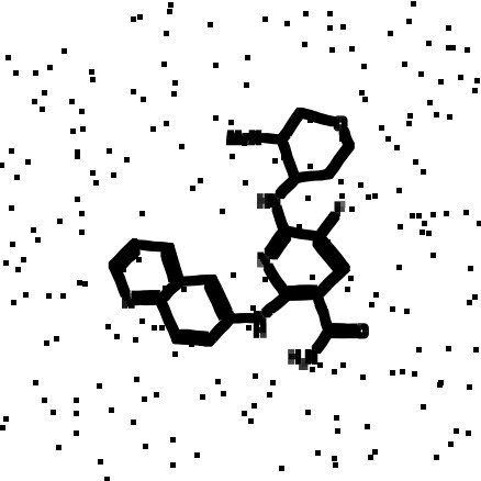 CNC1COCCC1Nc1nc(Nc2ccc3ncccc3c2)c(C(N)=O)cc1F